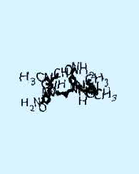 CCc1nc(C)oc1Nc1nc2cc(C(N)=O)ccc2n1CCC1CC1CCn1c(Nc2oc(C)nc2CC)nc2cc(C(N)=O)ccc21